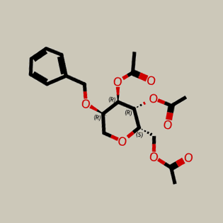 CC(=O)OC[C@@H]1OC[C@@H](OCc2ccccc2)[C@@H](OC(C)=O)[C@@H]1OC(C)=O